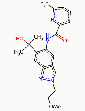 COCCn1cc2cc(NC(=O)c3cccc(C(F)(F)F)n3)c(C(C)(C)O)cc2n1